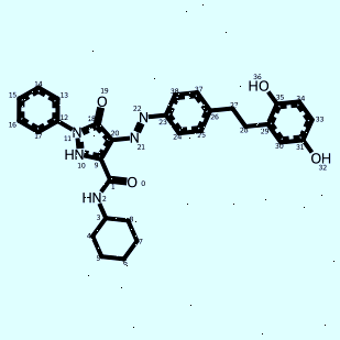 O=C(NC1CCCCC1)c1[nH]n(-c2ccccc2)c(=O)c1N=Nc1ccc(CCc2cc(O)ccc2O)cc1